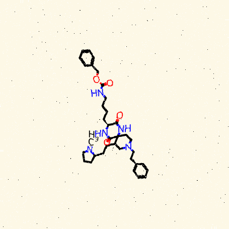 CN1CCCC1CCC1CN(CCc2ccccc2)CCC12NC(=O)[C@H](CCCCNC(=O)OCc1ccccc1)NC2=O